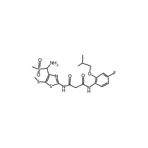 CSc1sc(NC(=O)CC(=O)Nc2ccc(F)cc2OCC(C)C)nc1C(N)S(C)(=O)=O